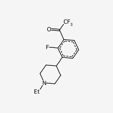 CCN1CCC(c2cccc(C(=O)C(F)(F)F)c2F)CC1